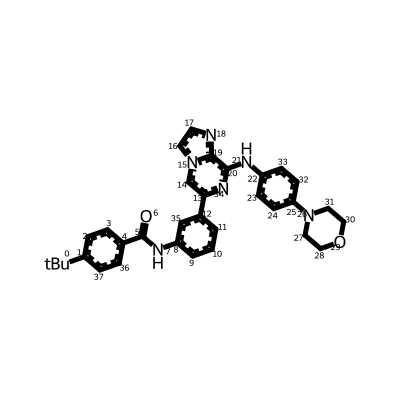 CC(C)(C)c1ccc(C(=O)Nc2cccc(-c3cn4ccnc4c(Nc4ccc(N5CCOCC5)cc4)n3)c2)cc1